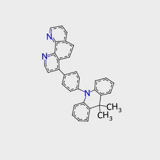 CC1(C)c2ccccc2N(c2ccc(-c3ccnc4c3ccc3cccnc34)cc2)c2ccccc21